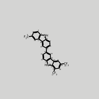 FC(F)(F)c1ccc2[nH]c3ccc(-c4ccc5[nH]c6c(C(F)(F)F)cc(C(F)(F)F)cc6c5c4)cc3c2c1